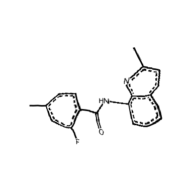 Cc1ccc(C(=O)Nc2cccc3ccc(C)nc23)c(F)c1